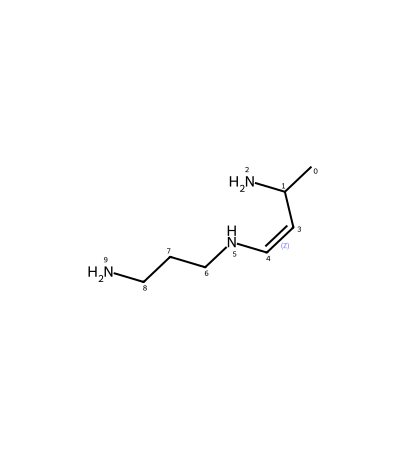 CC(N)/C=C\NCCCN